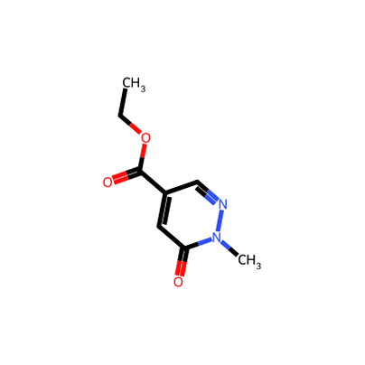 CCOC(=O)c1cnn(C)c(=O)c1